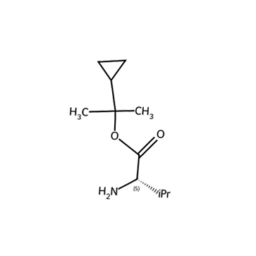 CC(C)[C@H](N)C(=O)OC(C)(C)C1CC1